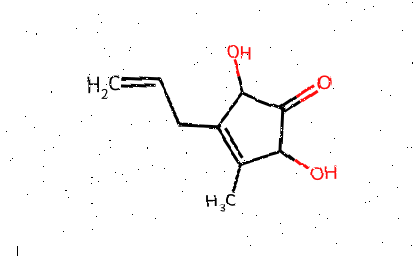 C=CCC1=C(C)C(O)C(=O)C1O